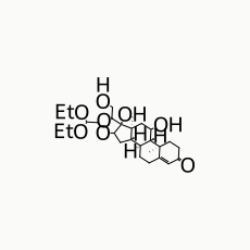 CCOC(COC1C[C@H]2[C@@H]3CCC4=CC(=O)CC[C@]4(C)[C@H]3C(O)C[C@]2(C)[C@@]1(O)C(=O)CO)OCC